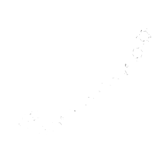 CC1(C)OB(C[N+](C)(C)CCC(=O)NCCOCCOCCOCCOCCC(=O)NCc2ccc(-c3nncnn3)cc2)OC1(C)C